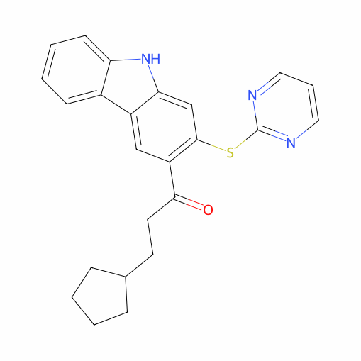 O=C(CCC1CCCC1)c1cc2c(cc1Sc1ncccn1)[nH]c1ccccc12